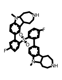 CN1c2ccc(-c3cc(F)ccc3S(=O)(=O)c3ccc(F)cc3-c3ccc4c(c3)C3CCNCCC3N4C)cc2C2CCNCCC21